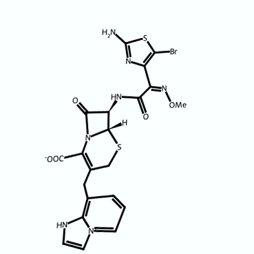 CO/N=C(\C(=O)N[C@@H]1C(=O)N2C(C(=O)[O-])=C(Cc3ccc[n+]4cc[nH]c34)CS[C@@H]12)c1nc(N)sc1Br